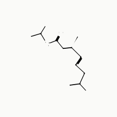 CC(C)C/C=C/[C@H](C)CC(=O)NC(C)C